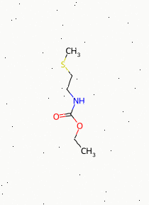 CCOC(=O)NCCSC